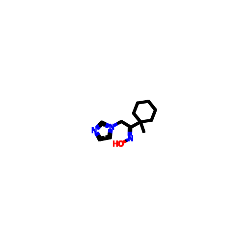 CC1(C(Cn2ccnc2)=NO)CCCCC1